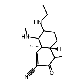 CCNC1CC[C@@H]2[C@@H](C)C(=O)C(C#N)=C[C@@]2(C)C1NC